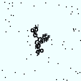 CCOC(=O)c1cn2c(ccc3c(C4=CCN(C(=O)OC(C)(C)C)C4)cc(C(F)(F)C(F)(F)F)nc32)n1